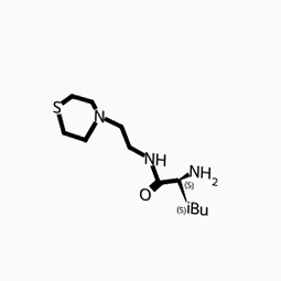 CC[C@H](C)[C@H](N)C(=O)NCCN1CCSCC1